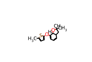 Cc1ccc(OC2=CC=CC3CC(C)(C)O[C@H]23)s1